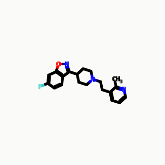 Cc1ncccc1CCN1CCC(c2noc3cc(F)ccc23)CC1